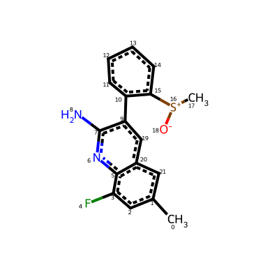 Cc1cc(F)c2nc(N)c(-c3ccccc3[S+](C)[O-])cc2c1